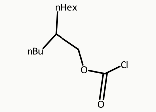 CCCCCCC(CCCC)COC(=O)Cl